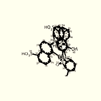 Cc1ccc2c(NC(=O)Nc3c4ccc(C)c3S(=O)(=O)N4c3ccc4c(S(=O)(=O)O)cccc4c3O)c1S(=O)(=O)N2c1ccc2c(S(=O)(=O)O)cccc2c1O